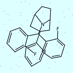 Fc1ccccc1C(c1ccccc1F)N1C2CCC1CC(c1ccccn1)C2